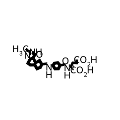 Cc1nc2ccc3ccc(CNc4ccc(C(=O)N[C@@H](CCC(=O)O)C(=O)O)cc4)cc3c2c(=O)[nH]1